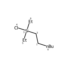 CCCCCC[Si](Cl)(CC)CC